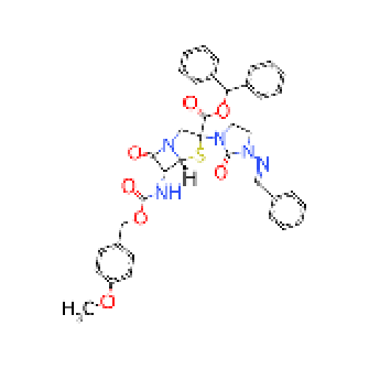 COc1ccc(COC(=O)N[C@@H]2C(=O)N3C[C@@](C(=O)OC(c4ccccc4)c4ccccc4)(N4CCN(N=Cc5ccccc5)C4=O)S[C@H]23)cc1